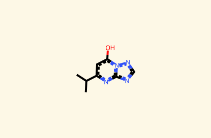 CC(C)c1cc(O)n2ncnc2n1